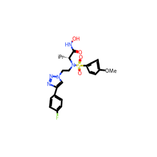 COc1ccc(S(=O)(=O)N(CCn2cc(-c3ccc(F)cc3)nn2)[C@@H](C(=O)NO)C(C)C)cc1